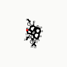 CCOc1c(F)c(F)cc(C(CC)(c2cccc3ccccc23)N(CC)C(=O)OC(C)(C)C)c1F